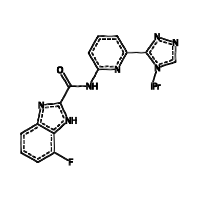 CC(C)n1cnnc1-c1cccc(NC(=O)c2nc3cccc(F)c3[nH]2)n1